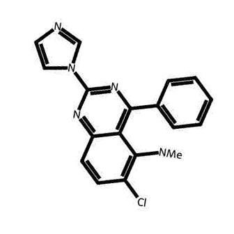 CNc1c(Cl)ccc2nc(-n3ccnc3)nc(-c3ccccc3)c12